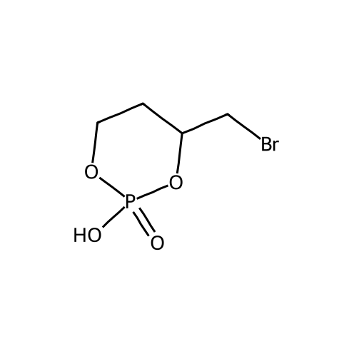 O=P1(O)OCCC(CBr)O1